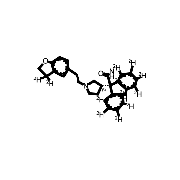 [2H]c1c([2H])c([2H])c(C(C(N)=O)(c2c([2H])c([2H])c([2H])c([2H])c2[2H])[C@@H]2CCN(CCc3ccc4c(c3)C([2H])([2H])CO4)C2)c([2H])c1[2H]